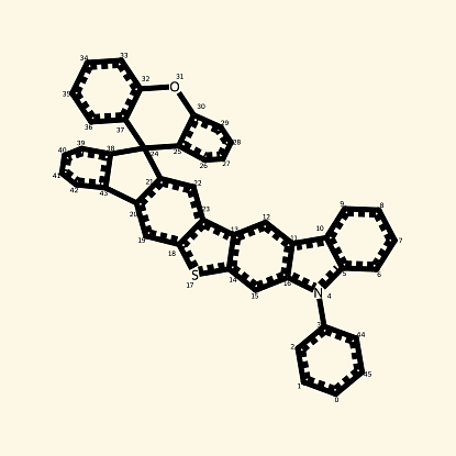 c1ccc(-n2c3ccccc3c3cc4c(cc32)sc2cc3c(cc24)C2(c4ccccc4Oc4ccccc42)c2ccccc2-3)cc1